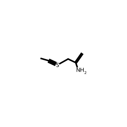 C=C(N)CS#CC